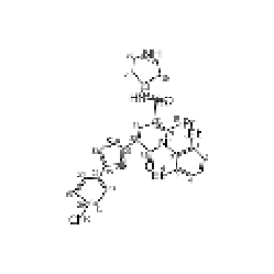 CCc1cccc(CC)c1-n1c(C(C)C)c(C(=O)NC2CCNCC2)cc(-c2nc(-c3ccc(Cl)cc3)cs2)c1=O